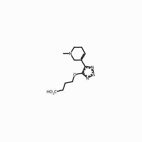 CN1CCC=C(c2nsnc2OCCCC(=O)O)C1